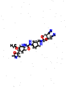 COc1cc(NC(=O)Nc2cccc(CNC(=O)OC(CC#N)CC#N)c2)ccc1-c1cnco1